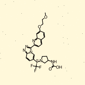 COCCOc1ccc2ccc(-c3nnc4ccc([C@@H](N5CCC(NC(=O)O)C5)C(F)(F)F)cn34)nc2c1